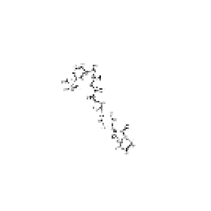 C=C(NCC(=O)NC1CN([C@H]2CC[C@@H](n3oc4ccccc4c3=O)CC2)C1)c1cccc(C(F)(F)F)c1